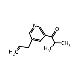 C=CCc1cncc(C(=O)C(C)C)c1